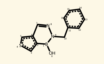 OB1c2cscc2C=NN1Cc1ccccc1